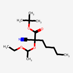 CCCCCC(C#N)(OC(C)OCC)C(=O)OC(C)(C)C